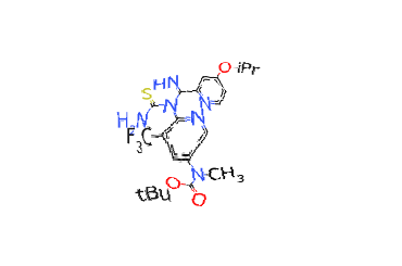 CC(C)Oc1ccnc(C(=N)N(C(N)=S)c2ncc(N(C)C(=O)OC(C)(C)C)cc2C(F)(F)F)c1